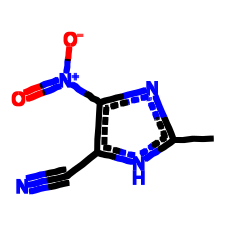 Cc1nc([N+](=O)[O-])c(C#N)[nH]1